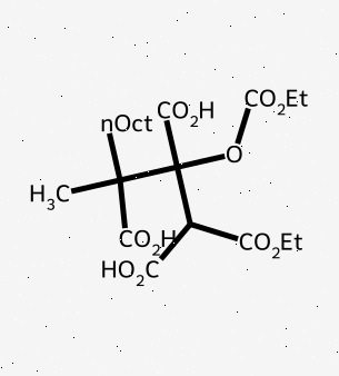 CCCCCCCCC(C)(C(=O)O)C(OC(=O)OCC)(C(=O)O)C(C(=O)O)C(=O)OCC